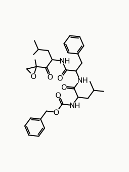 CC(C)CC(NC(=O)OCc1ccccc1)C(=O)NC(Cc1ccccc1)C(=O)NC(CC(C)C)C(=O)C1(C)CO1